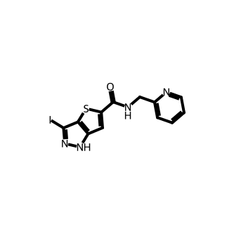 O=C(NCc1ccccn1)c1cc2[nH]nc(I)c2s1